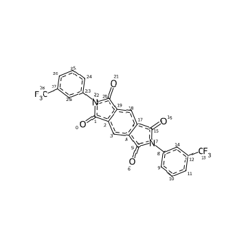 O=c1c2cc3c(=O)n(-c4cccc(C(F)(F)F)c4)c(=O)c3cc2c(=O)n1-c1cccc(C(F)(F)F)c1